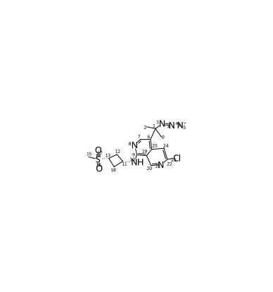 CC(C)(N=[N+]=[N-])c1cnc(N[C@H]2C[C@@H](S(C)(=O)=O)C2)c2cnc(Cl)cc12